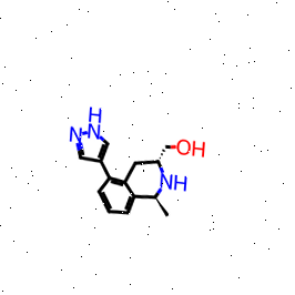 C[C@@H]1N[C@@H](CO)Cc2c(-c3cn[nH]c3)cccc21